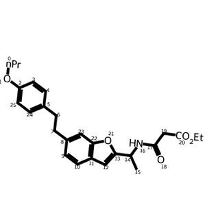 CCCOc1ccc(CCc2ccc3cc(C(C)NC(=O)CC(=O)OCC)oc3c2)cc1